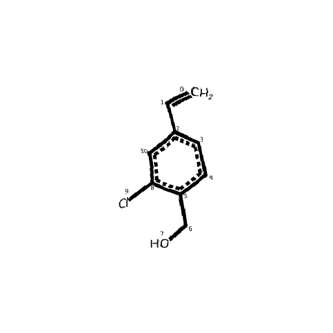 C=Cc1ccc(CO)c(Cl)c1